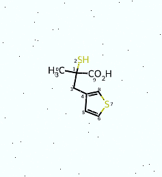 CC(S)(Cc1ccsc1)C(=O)O